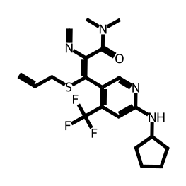 C=CCS/C(=C(\N=C)C(=O)N(C)C)c1cnc(NC2CCCC2)cc1C(F)(F)F